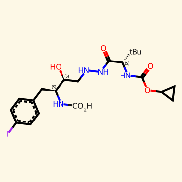 CC(C)(C)[C@H](NC(=O)OC1CC1)C(=O)NNC[C@H](O)[C@H](Cc1ccc(I)cc1)NC(=O)O